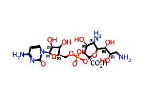 NC[C@@H](O)[C@@H](O)C1O[C@](OP(=O)(O)OC[C@H]2O[C@@H](n3ccc(N)nc3=O)[C@@H](O)C2O)(C(=O)O)C[C@@H](O)[C@H]1N